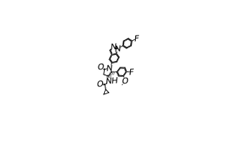 COc1cc([C@H]2[C@H](NC(=O)C3CC3)CC(=O)N2c2ccc3c(cnn3-c3ccc(F)cc3)c2)ccc1F